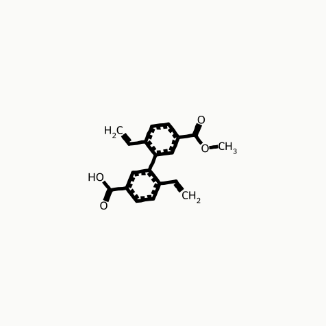 C=Cc1ccc(C(=O)O)cc1-c1cc(C(=O)OC)ccc1C=C